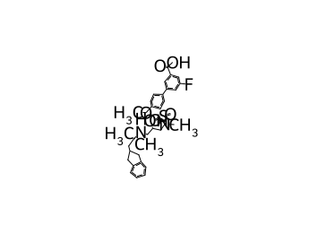 COc1ccc(-c2cc(F)cc(C(=O)O)c2)cc1S(=O)(=O)N(C)CC(O)CNC(C)(C)CC1Cc2ccccc2C1